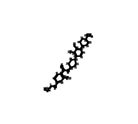 CCOc1ccc(C(=O)OC2CCC(c3ccc(C4CCC(C)CC4)c(F)c3F)CC2)c(F)c1